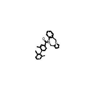 Cc1cc(C(=O)N2Cc3cccn3Cc3ccccc32)ccc1-c1c(C)cccc1C